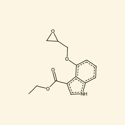 CCOC(=O)c1c[nH]c2cccc(OCC3CO3)c12